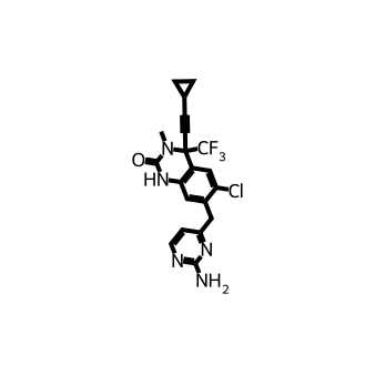 CN1C(=O)Nc2cc(Cc3ccnc(N)n3)c(Cl)cc2C1(C#CC1CC1)C(F)(F)F